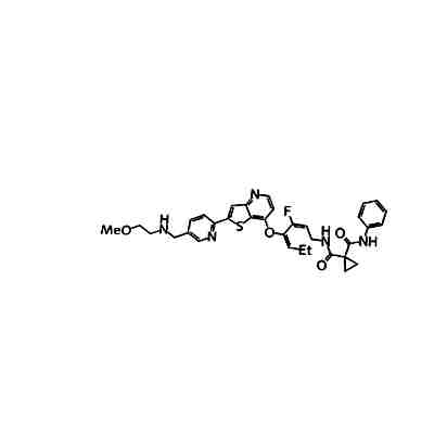 CC/C=C(Oc1ccnc2cc(-c3ccc(CNCCOC)cn3)sc12)\C(F)=C/CNC(=O)C1(C(=O)Nc2ccccc2)CC1